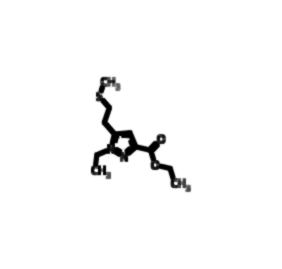 CCOC(=O)c1cc(CCSC)n(CC)n1